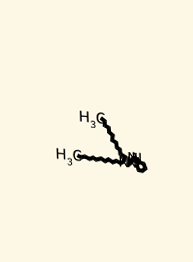 CCCCCCCCCCCCN(CCCCCCCCCCCC)Cn1nnc2c1CCCC2